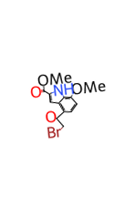 COC(=O)c1cc2c(C(=O)CBr)ccc(OC)c2[nH]1